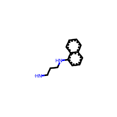 [NH]CCCNc1cccc2ccccc12